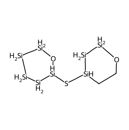 C1C[SiH](S[SiH]2O[SiH2][SiH2][SiH2][SiH2]2)[SiH2][SiH2]O1